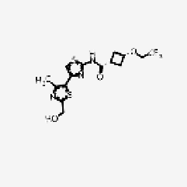 Cc1nc(CO)sc1-c1csc(NC(=O)[C@H]2C[C@@H](OCC(F)(F)F)C2)n1